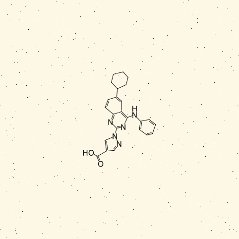 O=C(O)c1cnn(-c2nc(Nc3ccccc3)c3cc(C4CCCCC4)ccc3n2)c1